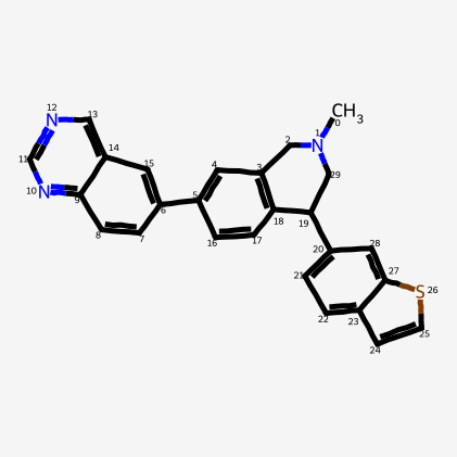 CN1Cc2cc(-c3ccc4ncncc4c3)ccc2C(c2ccc3ccsc3c2)C1